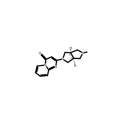 CN1C[C@@H]2CN(c3cc(=O)n4ccccc4n3)C[C@@H]2C1